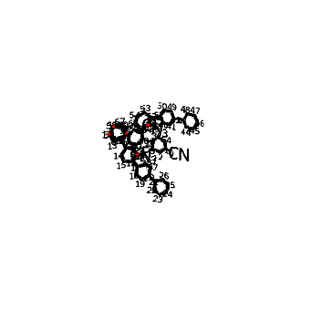 N#Cc1cc(-n2c3cc(-c4ccccc4)ccc3c3ccc(-c4ccccc4)cc32)c(-c2c(C(F)(F)F)cccc2C(F)(F)F)c(-n2c3cc(-c4ccccc4)ccc3c3ccc(-c4ccccc4)cc32)c1